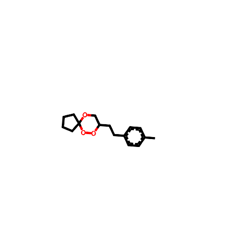 Cc1ccc(CCC2COC3(CCCC3)OO2)cc1